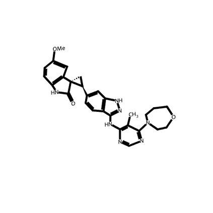 COc1ccc2c(c1)[C@]1(C[C@H]1c1ccc3c(Nc4ncnc(N5CCCOCC5)c4C)n[nH]c3c1)C(=O)N2